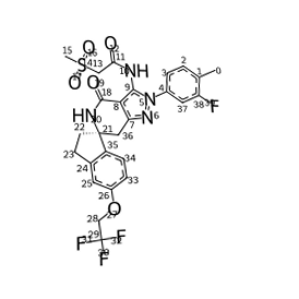 Cc1ccc(-n2nc3c(c2NC(=O)CS(C)(=O)=O)C(=O)N[C@@]2(CCc4cc(OCC(F)(F)F)ccc42)C3)cc1F